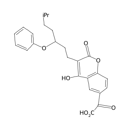 CC(C)CCC(CCc1c(O)c2cc(C(=O)C(=O)O)ccc2oc1=O)Oc1ccccc1